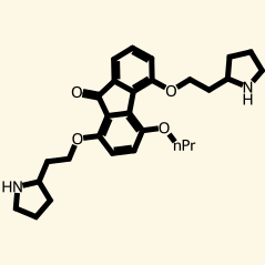 CCCOc1ccc(OCCC2CCCN2)c2c1-c1c(OCCC3CCCN3)cccc1C2=O